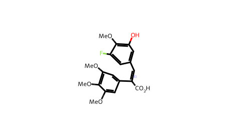 COc1cc(/C(=C\c2cc(O)c(OC)c(F)c2)C(=O)O)cc(OC)c1OC